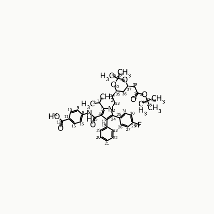 CC(C)c1c(C(=O)Nc2ccc(C(=O)O)cc2)c(-c2ccccc2)c(-c2ccc(F)cc2)n1CC[C@@H]1C[C@H](CC(=O)OC(C)(C)C)OC(C)(C)O1